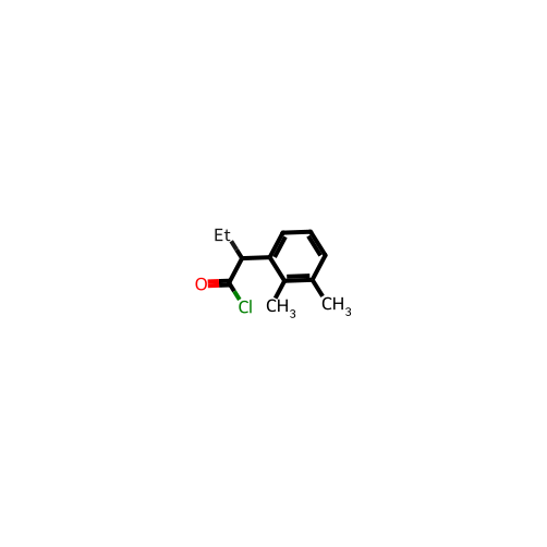 CCC(C(=O)Cl)c1cccc(C)c1C